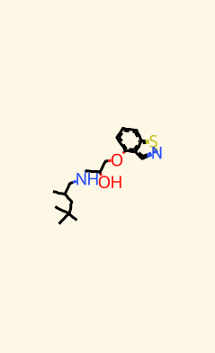 CC(CNCC(O)COc1cccc2sncc12)CC(C)(C)C